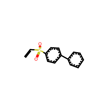 C=CS(=O)(=O)c1ccc(-c2ccccc2)cc1